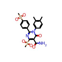 Cc1ccc(-n2c(-c3ccc(S(C)(=O)=O)cc3)nc(S(C)(=O)=O)c(C(N)=O)c2=O)cc1C